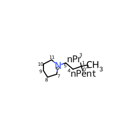 CCCCCC(C)(CCC)CCN1CCCCC1